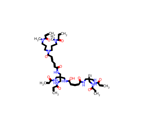 C=CC(=O)NCC(CC)(CNC(=O)C=C)CNC(=O)C=C=CC(O)NCC(CNC(=O)C=C)(CNC(=O)C=C)CNC(=O)/C=C/C=C/C(=O)N(CCCN(C)C(=O)C=C)CCCN(C)C(=O)C=C